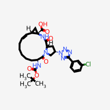 CC(C)(C)OC(=O)N[C@@H]1CCCCC/C=C\[C@@H]2C[C@]2(C(=O)O)NC(=O)[C@@H]2C[C@H](n3nnc(-c4cccc(Cl)c4)n3)CN2C1=O